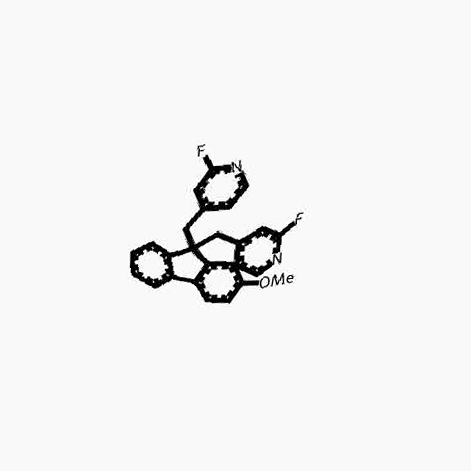 COc1ccc2c(c1)C(Cc1ccnc(F)c1)(Cc1ccnc(F)c1)c1ccccc1-2